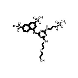 CS(=O)(=O)NCCNc1nc(NCCOCCO)nc(Nc2cc(S(=O)(=O)O)cc3cc(S(=O)(=O)O)ccc23)n1